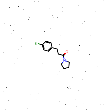 O=C(CCc1ccc(Br)cc1)N1CCCC1